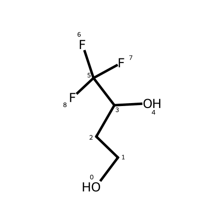 OCCC(O)C(F)(F)F